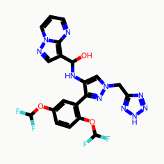 OC(Nc1cn(Cc2nn[nH]n2)nc1-c1cc(OC(F)F)ccc1OC(F)F)c1cnn2cccnc12